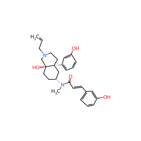 C=CCN1CC[C@@]2(c3cccc(O)c3)C[C@H](N(C)C(=O)C=Cc3cccc(O)c3)CC[C@]2(O)C1